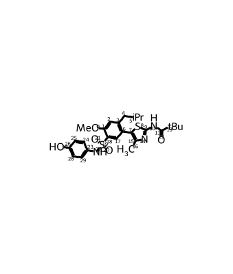 COc1cc(CC(C)C)c(-c2sc(NC(=O)C(C)(C)C)nc2C)cc1S(=O)(=O)Nc1ccc(O)cc1